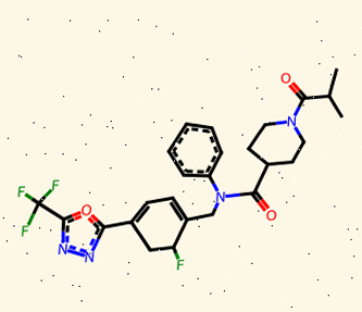 CC(C)C(=O)N1CCC(C(=O)N(CC2=CC=C(c3nnc(C(F)(F)F)o3)CC2F)c2ccccc2)CC1